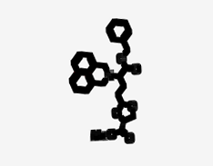 COC(=O)[C@@H]1COC(CCC(C(=O)OCc2ccccc2)N(Cc2ccccc2)Cc2ccccc2)O1